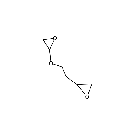 C(CC1CO1)OC1CO1